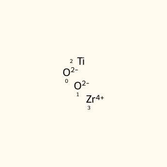 [O-2].[O-2].[Ti].[Zr+4]